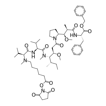 CC[C@H](C)[C@@H]([C@@H](CC(=O)N1CCC[C@H]1[C@H](OC)[C@@H](C)C(=O)N[C@@H](Cc1ccccc1)C(=O)OCc1ccccc1)OC)N(C)C(=O)[C@@H](NC(=O)[C@H](C(C)C)N(C)CCCCCC(=O)ON1C(=O)CCC1=O)C(C)C